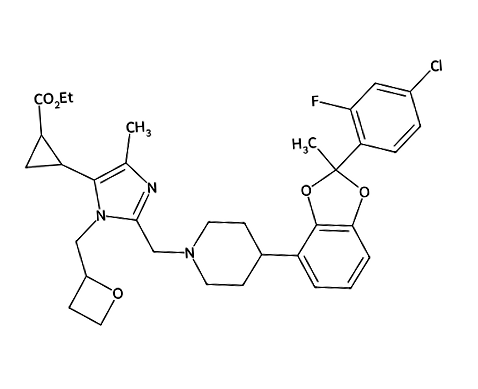 CCOC(=O)C1CC1c1c(C)nc(CN2CCC(c3cccc4c3OC(C)(c3ccc(Cl)cc3F)O4)CC2)n1CC1CCO1